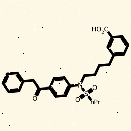 CCCS(=O)(=O)N(CCCCc1cccc(C(=O)O)c1)c1ccc(C(=O)Cc2ccccc2)cc1